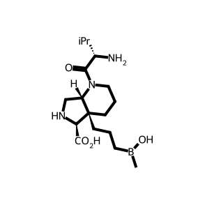 CB(O)CCC[C@]12CCCN(C(=O)[C@@H](N)C(C)C)[C@H]1CN[C@@H]2C(=O)O